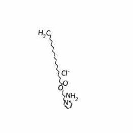 CCCCCCCCCCCCCCCCCC(=O)OCCC(N)C[n+]1ccccc1.[Cl-]